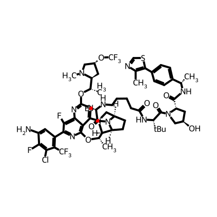 CC[C@H](NCCCCC(=O)N[C@H](C(=O)N1C[C@H](O)C[C@H]1C(=O)N[C@@H](C)c1ccc(-c2scnc2C)cc1)C(C)(C)C)C(=O)N1[C@@H]2CC[C@H]1[C@H]1[C@H](C)Oc3nc(-c4cc(N)c(F)c(Cl)c4C(F)(F)F)c(F)c4nc(O[C@@H](C)[C@@H]5C[C@@H](OC(F)(F)F)CN5C)nc(c34)N1C2